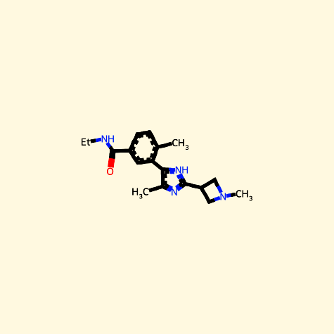 CCNC(=O)c1ccc(C)c(-c2[nH]c(C3CN(C)C3)nc2C)c1